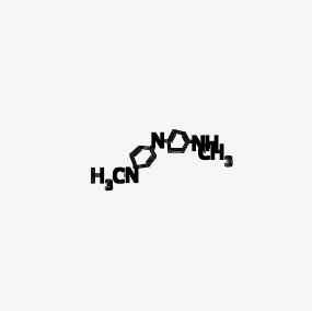 CN=C1C=CC(=Nc2ccc(NC)cc2)C=C1